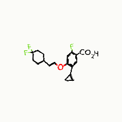 O=C(O)c1cc(C2CC2)c(OCCC2CCC(F)(F)CC2)cc1F